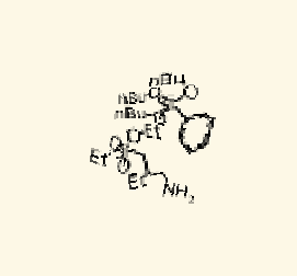 CCCCO[Si](OCCCC)(OCCCC)c1ccccc1.CCO[Si](CCCN)(OCC)OCC